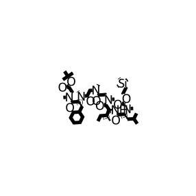 CC[C@H](C)[C@H](NC(=O)[C@H](CC(C)C)N(C)C(=O)OCC[Si](C)(C)C)C(=O)N(C)CC(=O)N(C)CC(=O)N(C)[C@@H](CC1CCCCC1)C(=O)N(C)CC(=O)OC(C)(C)C